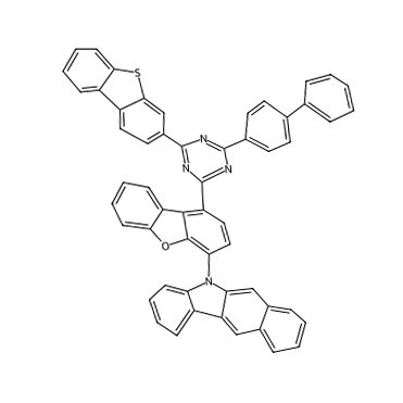 c1ccc(-c2ccc(-c3nc(-c4ccc5c(c4)sc4ccccc45)nc(-c4ccc(-n5c6ccccc6c6cc7ccccc7cc65)c5oc6ccccc6c45)n3)cc2)cc1